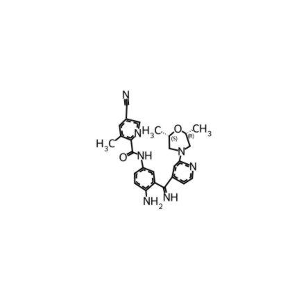 Cc1cc(C#N)cnc1C(=O)Nc1ccc(N)c(C(=N)c2ccnc(N3C[C@@H](C)O[C@@H](C)C3)c2)c1